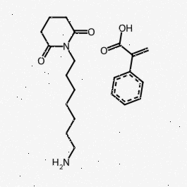 C=C(C(=O)O)c1ccccc1.NCCCCCCCN1C(=O)CCCC1=O